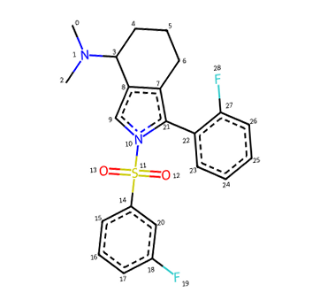 CN(C)C1CCCc2c1cn(S(=O)(=O)c1cccc(F)c1)c2-c1ccccc1F